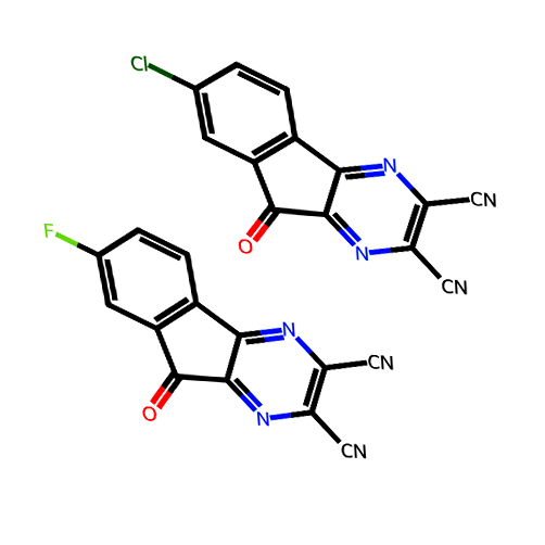 N#Cc1nc2c(nc1C#N)-c1ccc(Cl)cc1C2=O.N#Cc1nc2c(nc1C#N)-c1ccc(F)cc1C2=O